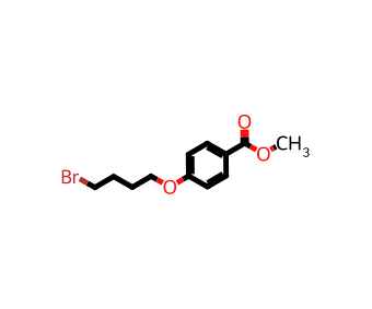 COC(=O)c1ccc(OCCCCBr)cc1